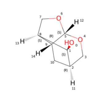 O[C@H]1[C@H]2CO[C@H]3OC[C@@H]1[C@H]3C2